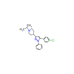 CC(C)N1CCC(c2cc(-c3ccc(Cl)cc3)n(-c3ccccc3)n2)CC1